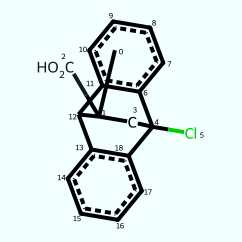 CC1(C(=O)O)CC2(Cl)c3ccccc3C1c1ccccc12